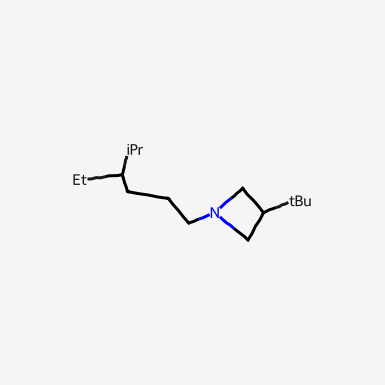 CCC(CCCN1CC(C(C)(C)C)C1)C(C)C